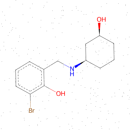 Oc1c(Br)cccc1CN[C@@H]1CCC[C@H](O)C1